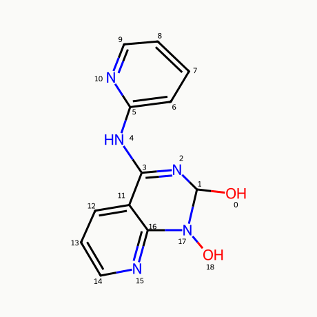 OC1N=C(Nc2ccccn2)c2cccnc2N1O